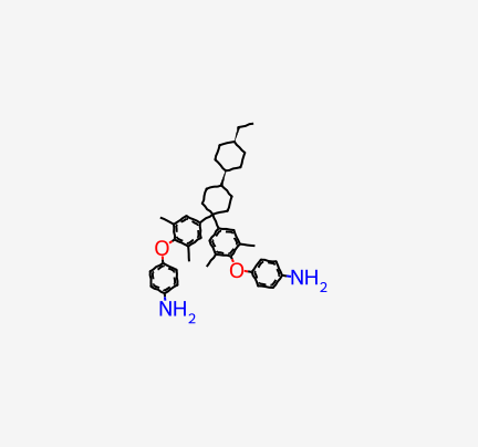 CC[C@H]1CC[C@@H](C2CCC(c3cc(C)c(Oc4ccc(N)cc4)c(C)c3)(c3cc(C)c(Oc4ccc(N)cc4)c(C)c3)CC2)CC1